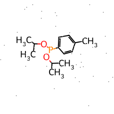 Cc1ccc(P(OC(C)C)OC(C)C)cc1